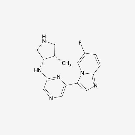 C[C@H]1CNC[C@H]1Nc1cncc(-c2cnc3ccc(F)cn23)n1